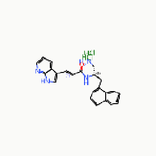 Cl.Cl.NC[C@H](Cc1cccc2ccccc12)NC(=O)/C=C/c1c[nH]c2ncccc12